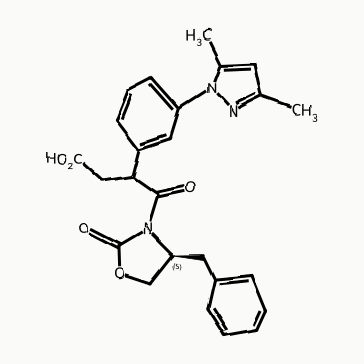 Cc1cc(C)n(-c2cccc(C(CC(=O)O)C(=O)N3C(=O)OC[C@@H]3Cc3ccccc3)c2)n1